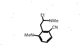 CCC(Cc1c(C#N)cccc1NC)NC